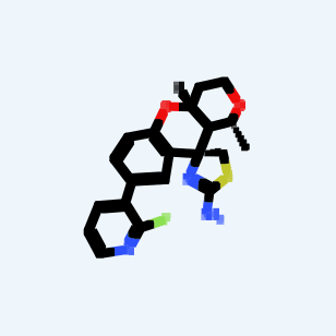 C[C@H]1OCC[C@H]2Oc3ccc(-c4cccnc4F)cc3[C@@]3(CSC(N)=N3)C12